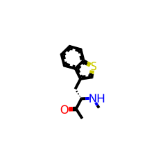 CN[C@@H](Cc1csc2ccccc12)C(C)=O